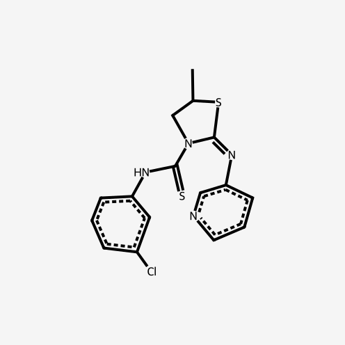 CC1CN(C(=S)Nc2cccc(Cl)c2)/C(=N\c2cccnc2)S1